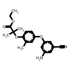 CCOC(=O)C(C)(C)Oc1ccc(Oc2cc(N)cc(C#N)c2)cc1C